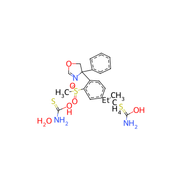 C.CCC.CS(=O)(=O)c1ccccc1C1(c2ccccc2)COC=N1.NC(O)=S.NC(O)=S.O